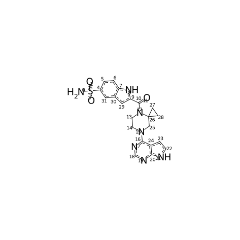 NS(=O)(=O)c1ccc2[nH]c(C(=O)N3CCN(c4ncnc5[nH]ccc45)CC34CC4)cc2c1